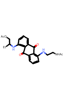 CCC(COC(C)=O)Nc1cccc2c1C(=O)c1cccc(NCCNC(C)=O)c1C2=O